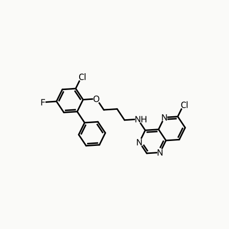 Fc1cc(Cl)c(OCCCNc2ncnc3ccc(Cl)nc23)c(-c2ccccc2)c1